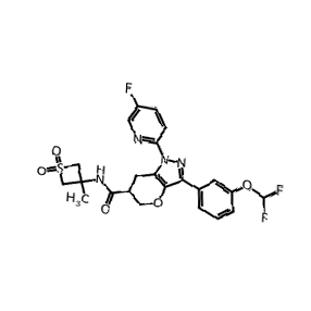 CC1(NC(=O)C2COc3c(-c4cccc(OC(F)F)c4)nn(-c4ccc(F)cn4)c3C2)CS(=O)(=O)C1